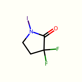 O=C1N(I)CCC1(F)F